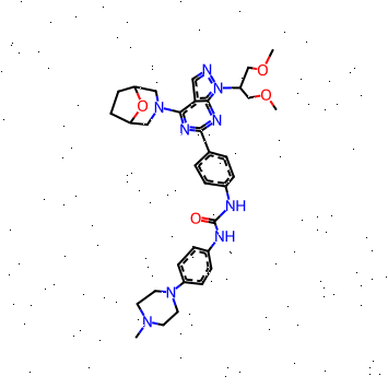 COCC(COC)n1ncc2c(N3CC4CCC(C3)O4)nc(-c3ccc(NC(=O)Nc4ccc(N5CCN(C)CC5)cc4)cc3)nc21